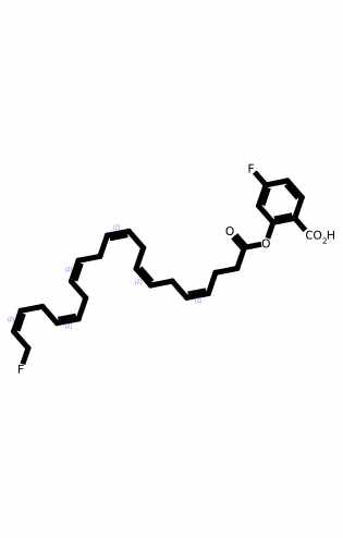 O=C(CC/C=C\C/C=C\C/C=C\C/C=C\C/C=C\C/C=C\CF)Oc1cc(F)ccc1C(=O)O